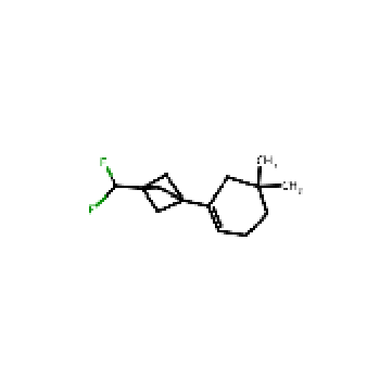 CC1(C)CCC=C(C23CC(C(F)F)(C2)C3)C1